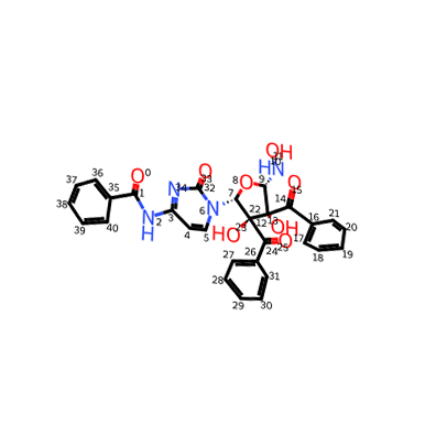 O=C(Nc1ccn([C@@H]2O[C@H](NO)[C@](O)(C(=O)c3ccccc3)[C@]2(O)C(=O)c2ccccc2)c(=O)n1)c1ccccc1